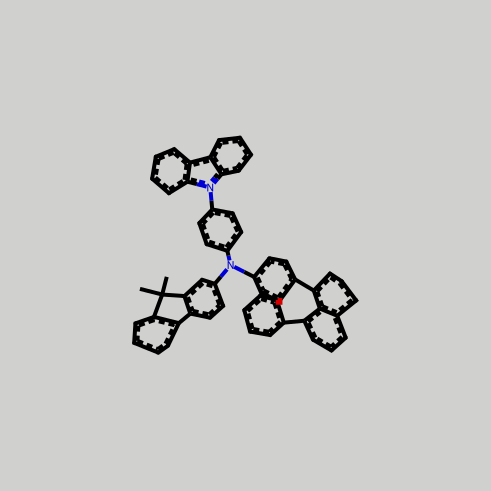 CC1(C)c2ccccc2-c2ccc(N(c3ccc(-c4cccc5cccc(-c6ccccc6)c45)cc3)c3ccc(-n4c5ccccc5c5ccccc54)cc3)cc21